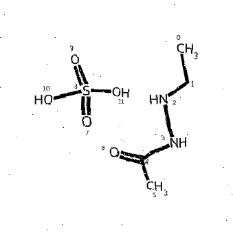 CCNNC(C)=O.O=S(=O)(O)O